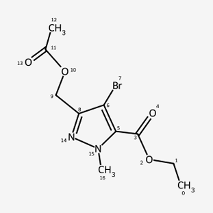 CCOC(=O)c1c(Br)c(COC(C)=O)nn1C